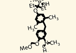 CCC(CC)(Oc1cc(C)c(Cc2ccc(OCOC)c(N(C)C)c2)c(C)c1)P(=O)(O)O